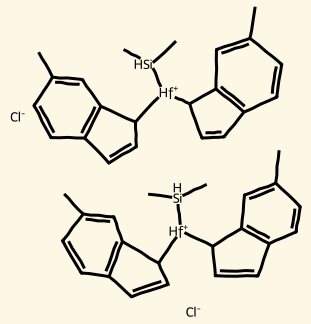 Cc1ccc2c(c1)[CH]([Hf+]([CH]1C=Cc3ccc(C)cc31)[SiH](C)C)C=C2.Cc1ccc2c(c1)[CH]([Hf+]([CH]1C=Cc3ccc(C)cc31)[SiH](C)C)C=C2.[Cl-].[Cl-]